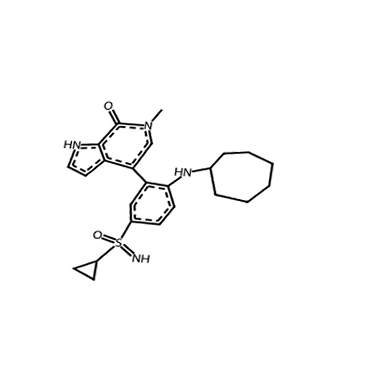 Cn1cc(-c2cc(S(=N)(=O)C3CC3)ccc2NC2CCCCCC2)c2cc[nH]c2c1=O